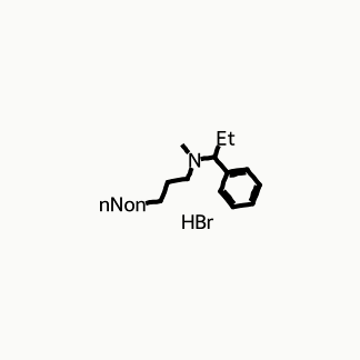 Br.CCCCCCCCCCCCN(C)C(CC)c1ccccc1